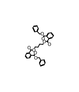 O=C(OCCCCOC(=O)c1ccccc1C(=O)OCc1ccccc1)c1ccccc1C(=O)OCc1ccccc1